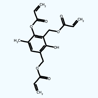 C=CC(=O)OCc1cc(C)c(OC(=O)C=C)c(COC(=O)C=C)c1O